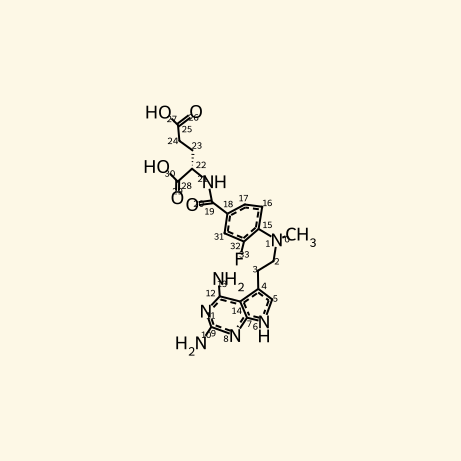 CN(CCc1c[nH]c2nc(N)nc(N)c12)c1ccc(C(=O)N[C@@H](CCC(=O)O)C(=O)O)cc1F